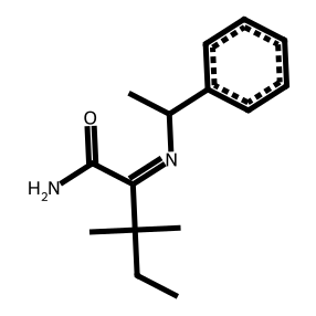 CCC(C)(C)C(=NC(C)c1ccccc1)C(N)=O